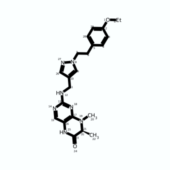 CCOc1ccc(CCn2cc(CNc3ncc4c(n3)N(C)[C@@H](C)C(=O)N4)cn2)cc1